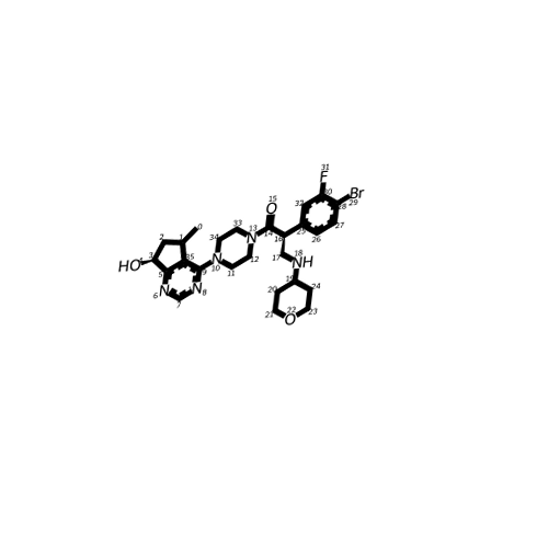 CC1C[C@H](O)c2ncnc(N3CCN(C(=O)[C@H](CNC4CCOCC4)c4ccc(Br)c(F)c4)CC3)c21